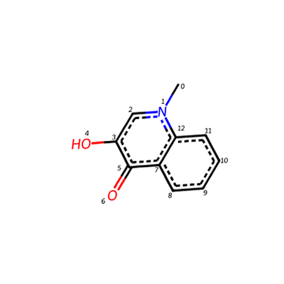 Cn1cc(O)c(=O)c2ccccc21